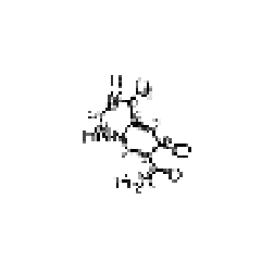 NC(=O)c1cn2c(cc1=O)C(=O)NCN2